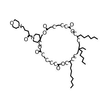 CCCCCCCCC1CCCC(CC)(CCCCC)CCC(CCCCCC)COC(=O)CCCCCC(=O)OCC2(CCN(C(=O)CCCN3CCOCC3)CC2)COC(=O)CCCCCC(=O)OC1